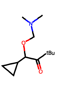 CN(C)COC(C(=O)C(C)(C)C)C1CC1